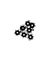 c1ccc(Nc2cccc(N(c3ccccc3)c3cc(N(c4ccccc4)c4ccccc4)c4c(c3)sc3ccccc34)c2)cc1